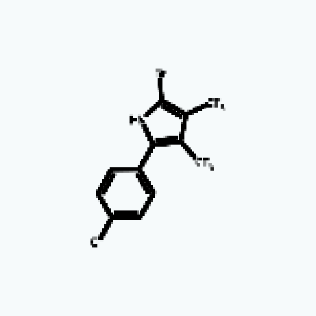 FC(F)(F)c1c(Br)[nH]c(-c2ccc(Cl)cc2)c1C(F)(F)F